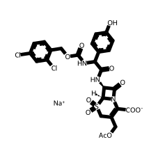 CC(=O)OCC1=C(C(=O)[O-])N2C(=O)[C@H](NC(=O)C(NC(=O)OCc3ccc(Cl)cc3Cl)c3ccc(O)cc3)[C@@H]2S(=O)(=O)C1.[Na+]